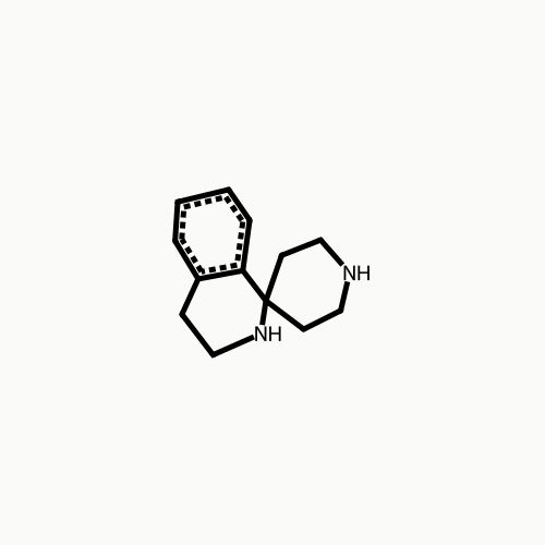 c1ccc2c(c1)CCNC21CCNCC1